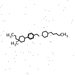 CCCCC[C@H]1CC[C@H](CCc2ccc(C3CCC(C)(CCC)CC3)cc2)CC1